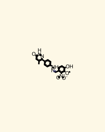 COc1c(O)ccc(/C=N\Nc2ccc(-c3n[nH]c(=O)cc3C)cc2)c1[N+](=O)[O-]